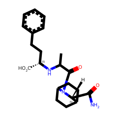 CC(N[C@@H](CCc1ccccc1)C(=O)O)C(=O)N1C2CCC(CC2)[C@H]1C(N)=O